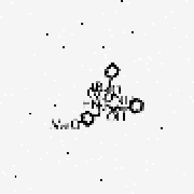 COc1ccc(CN(C[C@H](O)[C@H](Cc2ccccc2)NC(=O)OCc2ccccc2)NC(=O)OC(C)(C)C)cc1